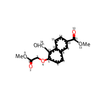 COC(=O)COc1ccc2cc(C(=O)OC)ccc2c1C=O